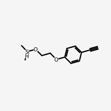 C#Cc1ccc(OCCO[SiH](C)C)cc1